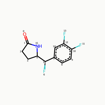 O=C1CCC([C@H](F)c2ccc(F)c(F)c2)N1